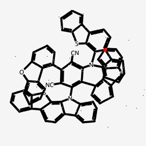 N#Cc1c(-c2cccc3oc4ccccc4c23)c(C#N)c(-n2c3ccccc3c3ccc4c5ccccc5sc4c32)c(-c2cccc3oc4ccccc4c23)c1-n1c2ccccc2c2ccc3c4ccccc4sc3c21